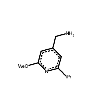 COc1cc(CN)cc(C(C)C)n1